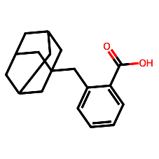 O=C(O)c1ccccc1CC12CC3CC(CC(C3)C1)C2